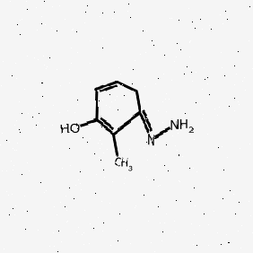 CC1=C(O)C=CCC1=NN